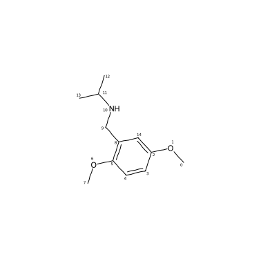 COc1ccc(OC)c(CNC(C)C)c1